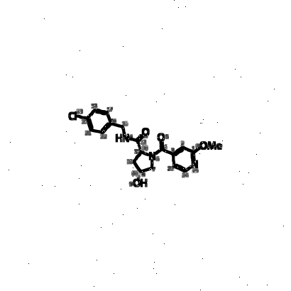 COc1cc(C(=O)N2C[C@H](O)C[C@H]2C(=O)NCc2ccc(Cl)cc2)ccn1